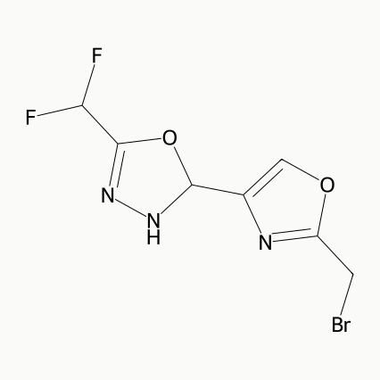 FC(F)C1=NNC(c2coc(CBr)n2)O1